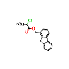 CCCCC(Cl)C(=O)OCc1cccc2c1Cc1ccccc1-2